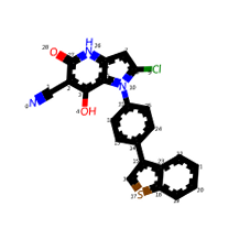 N#Cc1c(O)c2c(cc(Cl)n2-c2ccc(-c3csc4ccccc34)cc2)[nH]c1=O